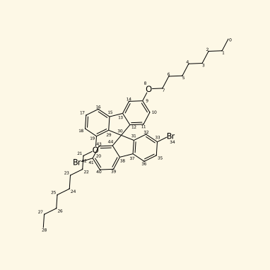 CCCCCCCCOc1ccc2c(c1)-c1cccc(OCCCCCCCC)c1C21c2cc(Br)ccc2-c2ccc(Br)cc21